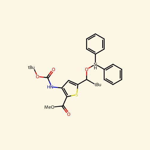 COC(=O)c1sc(C(O[SiH](c2ccccc2)c2ccccc2)C(C)(C)C)cc1NC(=O)OC(C)(C)C